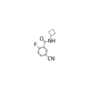 N#Cc1ccc(F)c(C(=O)NC2CCC2)c1